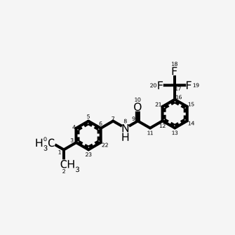 CC(C)c1ccc(CNC(=O)Cc2cccc(C(F)(F)F)c2)cc1